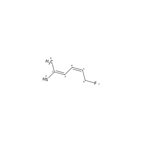 C/C(S)=C\C=C/CF